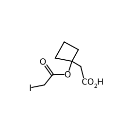 O=C(O)CC1(OC(=O)CI)CCC1